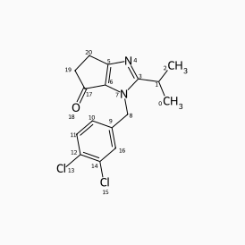 CC(C)c1nc2c(n1Cc1ccc(Cl)c(Cl)c1)C(=O)CC2